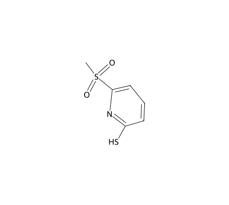 CS(=O)(=O)c1cccc(S)n1